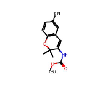 CC(C)(C)OC(=O)NC1=Cc2cc(C#N)ccc2OC1(C)C